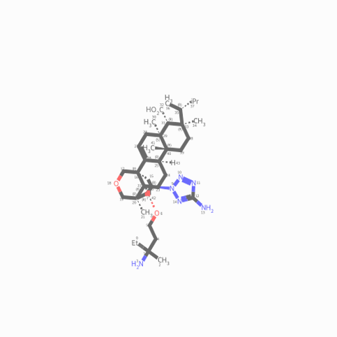 CCC(C)(N)CCO[C@H]1[C@H](n2nnc(N)n2)C[C@@]23COC[C@@]1(C)[C@@H]2CC[C@H]1C3=CC[C@@]2(C)[C@H](C(=O)O)[C@@](C)([C@H](C)C(C)C)CC[C@]12C